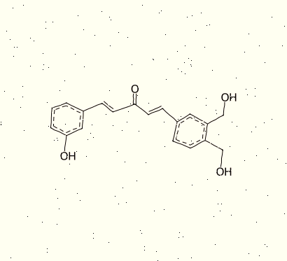 O=C(/C=C/c1cccc(O)c1)/C=C/c1ccc(CO)c(CO)c1